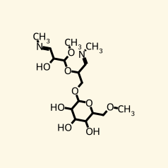 C/N=C/C(COC1OC(COC)C(O)C(O)C1O)OC(OC)C(O)/C=N/C